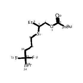 CCCCC(=O)OCC(CC)SCCCC(F)(F)CCC